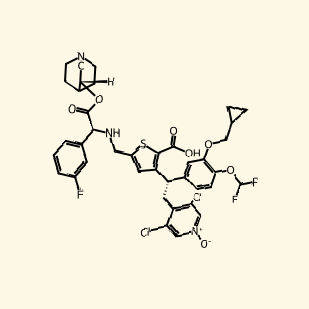 O=C(O)c1sc(CNC(C(=O)O[C@H]2CN3CCC2CC3)c2cccc(F)c2)cc1[C@@H](Cc1c(Cl)c[n+]([O-])cc1Cl)c1ccc(OC(F)F)c(OCC2CC2)c1